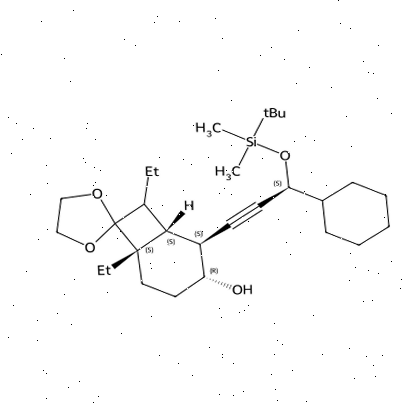 CCC1[C@@H]2[C@@H](C#C[C@@H](O[Si](C)(C)C(C)(C)C)C3CCCCC3)[C@H](O)CC[C@]2(CC)C12OCCO2